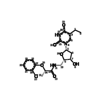 CCc1cn([C@@H]2CC(O)[C@H](CNC(=O)[C@H](C)Oc3ccccc3Cl)O2)c(=O)[nH]c1=O